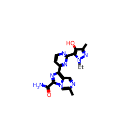 CCn1nc(C)c(O)c1-c1nccc(-c2nc(C(N)=O)n3cc(C)ncc23)n1